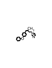 CC(=Cc1ccc(Oc2ccccc2)cc1)CCn1ccnc1